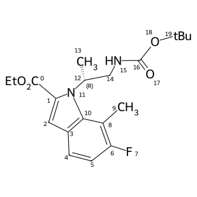 CCOC(=O)c1cc2ccc(F)c(C)c2n1[C@H](C)CNC(=O)OC(C)(C)C